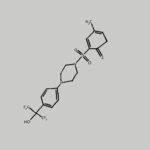 CC1=CCC(=S)C(S(=O)(=O)N2CCN(c3ccc(C(O)(C(F)(F)F)C(F)(F)F)cc3)CC2)=C1